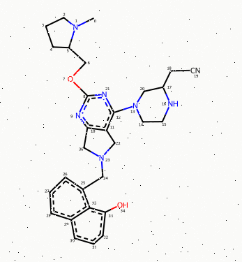 CN1CCCC1COc1nc2c(c(N3CCNC(CC#N)C3)n1)CN(Cc1cccc3cccc(O)c13)C2